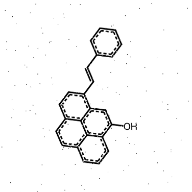 Oc1cc2c(C=Cc3ccccc3)ccc3ccc4cccc1c4c32